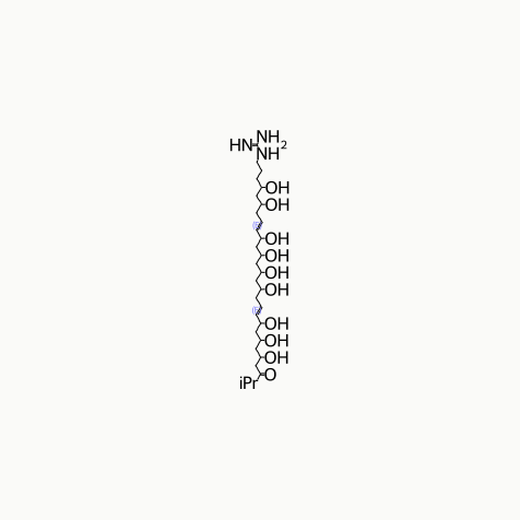 CC(C)C(=O)CC(O)CC(O)CC(O)/C=C/CC(O)CC(O)CC(O)CC(O)/C=C/CC(O)CC(O)CCCNC(=N)N